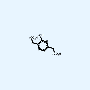 O=C(O)Cc1ccc(CC(=O)O)c(O)c1